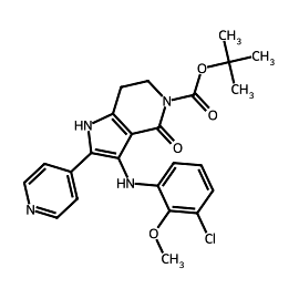 COc1c(Cl)cccc1Nc1c(-c2ccncc2)[nH]c2c1C(=O)N(C(=O)OC(C)(C)C)CC2